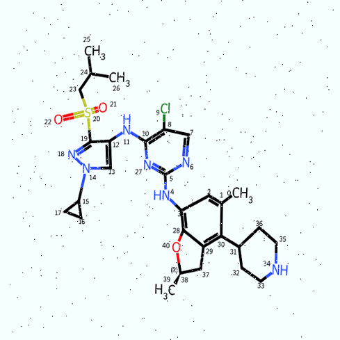 Cc1cc(Nc2ncc(Cl)c(Nc3cn(C4CC4)nc3S(=O)(=O)CC(C)C)n2)c2c(c1C1CCNCC1)C[C@@H](C)O2